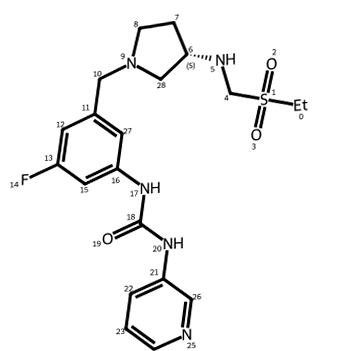 CCS(=O)(=O)CN[C@H]1CCN(Cc2cc(F)cc(NC(=O)Nc3cccnc3)c2)C1